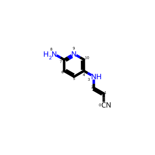 N#CC=CNc1ccc(N)nc1